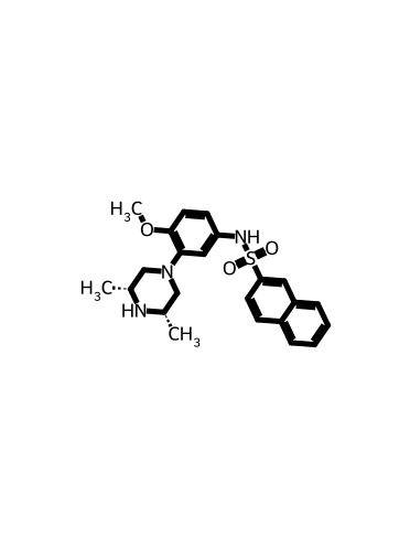 COc1ccc(NS(=O)(=O)c2ccc3ccccc3c2)cc1N1C[C@@H](C)N[C@@H](C)C1